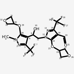 Cn1nc(C(F)(F)F)c(C(O)Cn2nc(C(F)(F)F)c(C=O)c2OC2COC2)c1OC1COC1